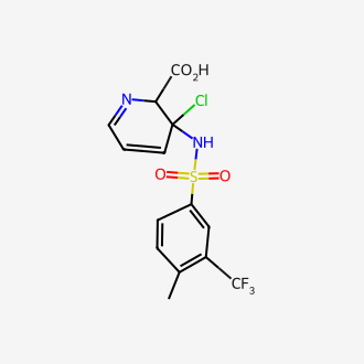 Cc1ccc(S(=O)(=O)NC2(Cl)C=CC=NC2C(=O)O)cc1C(F)(F)F